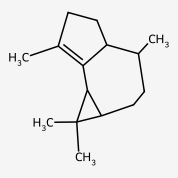 CC1=C2C(CC1)C(C)CCC1C2C1(C)C